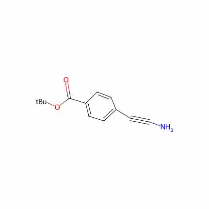 CC(C)(C)OC(=O)c1ccc(C#CN)cc1